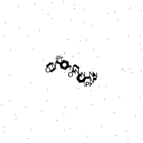 CC(C)C(c1ccc(N2CCN(c3cccc(-c4nncn4C(C)C)n3)C2=O)cc1)N1CCOCC1